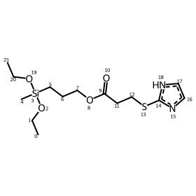 CCO[Si](C)(CCCOC(=O)CCSc1ncc[nH]1)OCC